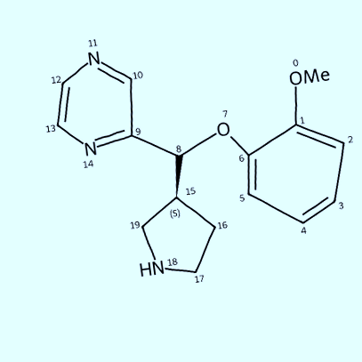 COc1ccccc1OC(c1cnccn1)[C@H]1CCNC1